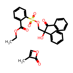 CC1=COC1=O.CCOC(=O)c1ccccc1S(=O)(=O)OCC(O)(C(=O)c1ccccc1)c1ccccc1